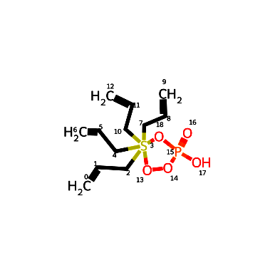 C=CCS1(CC=C)(CC=C)(CC=C)OOP(=O)(O)O1